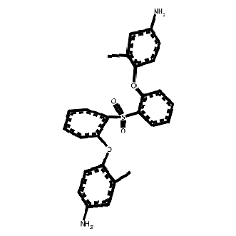 Cc1cc(N)ccc1Oc1ccccc1S(=O)(=O)c1ccccc1Oc1ccc(N)cc1C